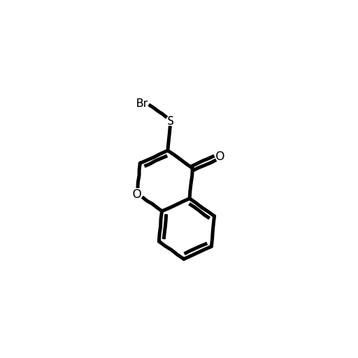 O=c1c(SBr)coc2ccccc12